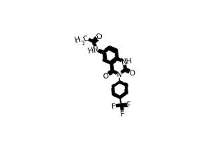 CC(=O)Nc1ccc2[nH]c(=O)n([C@H]3CC[C@H](C(F)(F)F)CC3)c(=O)c2c1